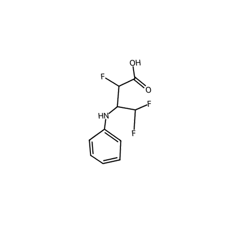 O=C(O)C(F)C(Nc1ccccc1)C(F)F